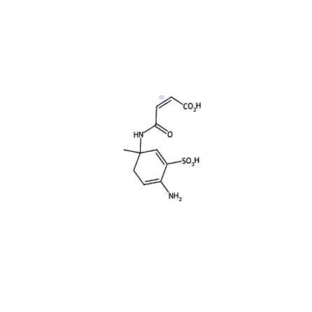 CC1(NC(=O)/C=C\C(=O)O)C=C(S(=O)(=O)O)C(N)=CC1